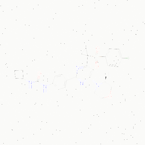 C[C@H]1COCCN1c1cc(C2(S(=O)(=O)c3ccc(F)cc3)CC2)nc(-c2ccc(NC(=O)NC3CCC3)cc2)n1